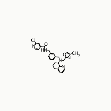 Cc1coc(CN(Cc2cccc(CNC(=O)c3ccnc(Cl)c3)c2)C2CCCc3cccnc32)n1